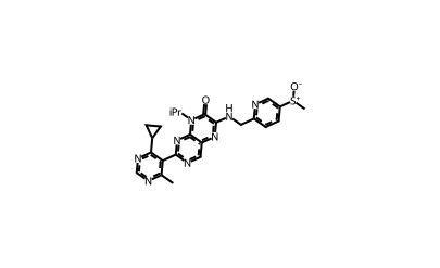 Cc1ncnc(C2CC2)c1-c1ncc2nc(NCc3ccc([S+](C)[O-])cn3)c(=O)n(C(C)C)c2n1